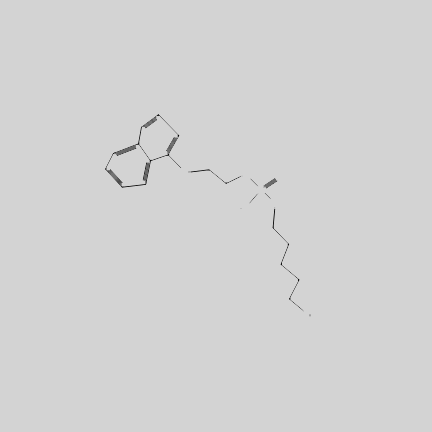 CCCCCCCCCCCCCCCOP(=O)(O)OCCOc1cccc2ccccc12